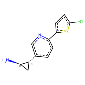 N[C@@H]1C[C@H]1c1ccc(-c2ccc(Cl)s2)nc1